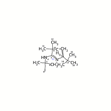 C=C(/N=C(/NC(C)(C)I)C(C)(C)C)C(C)(C)C